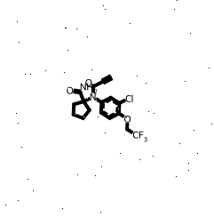 C#CC(=O)N(c1ccc(OCC(F)(F)F)c(Cl)c1)C1(C(N)=O)CCCC1